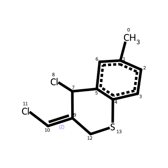 Cc1ccc2c(c1)C(Cl)/C(=C\Cl)CS2